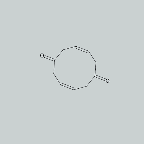 O=C1C/C=C\CC(=O)C/C=C\C1